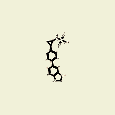 CC(C)S(=O)(=O)NC1CC1c1ccc(-c2ccc3c(c2)OCO3)cc1